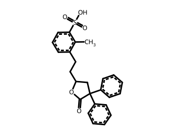 Cc1c(CCC2CC(c3ccccc3)(c3ccccc3)C(=O)O2)cccc1S(=O)(=O)O